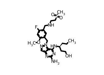 CCC[C@@H](CCO)Nc1nc(N)nc2cnn(Cc3cc(CNCCS(C)(=O)=O)c(F)cc3OC)c12